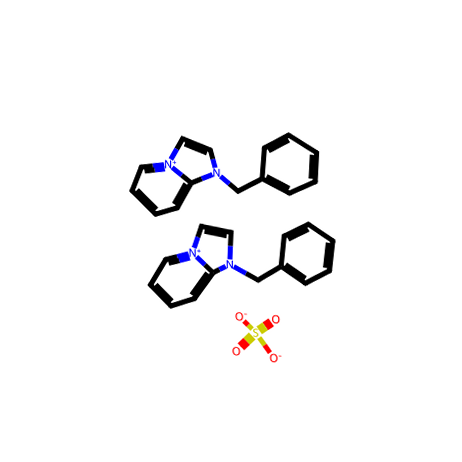 O=S(=O)([O-])[O-].c1ccc(Cn2cc[n+]3ccccc23)cc1.c1ccc(Cn2cc[n+]3ccccc23)cc1